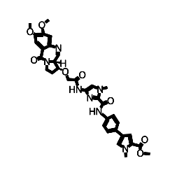 COC(=O)c1cc(-c2ccc(NC(=O)c3nc(NC(=O)CO[C@H]4CCN5C(=O)c6cc(OC)c(OC)cc6N=C[C@H]45)cn3C)cc2)cn1C